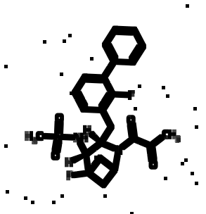 CC(=O)C(=O)N1C2CC(F)(C2)[C@H](NS(C)(=O)=O)[C@@H]1Cc1cccc(-c2ccccc2)c1F